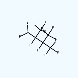 F[C](F)C(F)(C(F)(F)F)C(F)(C(F)(F)F)C(F)(F)F